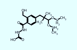 C[SiH2]OC(O[SiH2]C)C(C)(C)Cc1ccc(C(=O)NNC(=O)O)c(CO)c1